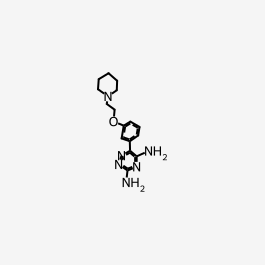 Nc1nnc(-c2cccc(OCCN3CCCCC3)c2)c(N)n1